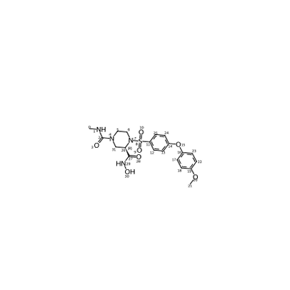 CNC(=O)N1CCN(S(=O)(=O)c2ccc(Oc3ccc(OC)cc3)cc2)[C@@H](C(=O)NO)C1